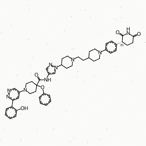 O=C1CC[C@H](c2ccc(N3CCC(CCN4CCC(n5cc(NC(=O)C6(Oc7ccccc7)CCN(c7cnnc(-c8ccccc8O)c7)CC6)cn5)CC4)CC3)cc2)C(=O)N1